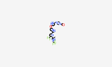 Cc1nn(CC(F)(F)F)cc1-c1nc(-c2cnn3cc(Oc4ccc(CN5CCN(C6COC6)CC5)nn4)ccc23)ccc1C(F)F